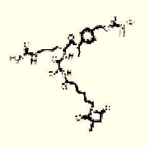 CCCNC(=O)OCc1ccc(NC(=O)[C@H](CCCNC(N)=O)NC(=O)[C@@H](NC(=O)CCCCCN2C(=O)CC(C)C2=O)C(C)C)cc1